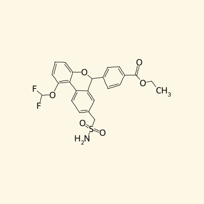 CCOC(=O)c1ccc(C2Oc3cccc(OC(F)F)c3-c3ccc(CS(N)(=O)=O)cc32)cc1